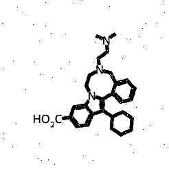 CN(C)CCN1CCn2c(c(C3CCCCC3)c3ccc(C(=O)O)cc32)-c2ccccc2C1